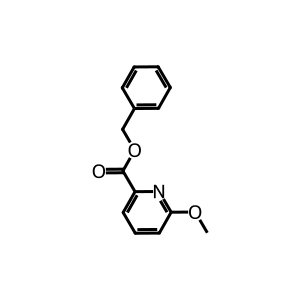 COc1cccc(C(=O)OCc2ccccc2)n1